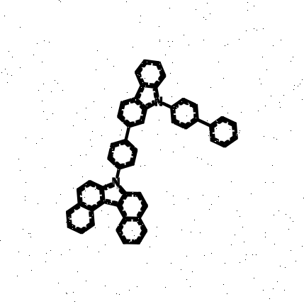 c1ccc(-c2ccc(-n3c4ccccc4c4ccc(-c5ccc(-n6c7ccc8ccccc8c7c7c8ccccc8ccc76)cc5)cc43)cc2)cc1